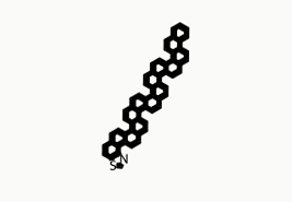 c1ccc2c(c1)ccc1c2ccc2ccc3c(ccc4ccc5c(ccc6ccc7c(ccc8ccc9c(ccc%10ccc%11c(ccc%12ccc%13scnc%13c%12%11)c%109)c87)c65)c43)c21